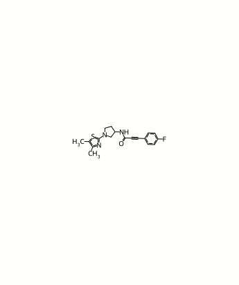 Cc1nc(N2CCC(NC(=O)C#Cc3ccc(F)cc3)C2)sc1C